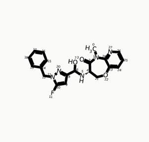 CN1C(=O)[C@@H](NC(O)c2cc(F)n(Cc3ccccc3)n2)COc2cccnc21